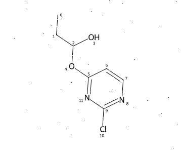 CCC(O)Oc1ccnc(Cl)n1